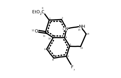 CCOC(=O)c1cn2c3c(c(F)ccc3c1=O)CCN2